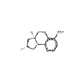 CSc1ccnc2c1OC[C@@H]1C[C@@H](F)CN21